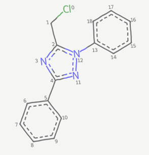 ClCc1nc(-c2ccccc2)nn1-c1ccccc1